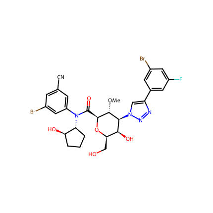 CO[C@@H]1[C@@H](n2cc(-c3cc(F)cc(Br)c3)nn2)[C@@H](O)[C@@H](CO)O[C@H]1C(=O)N(c1cc(Br)cc(C#N)c1)[C@@H]1CCC[C@H]1O